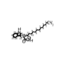 CCCCCCCCCCCCC(=O)N[C@@H](Cc1c[nH]c2ccccc12)C(=O)O